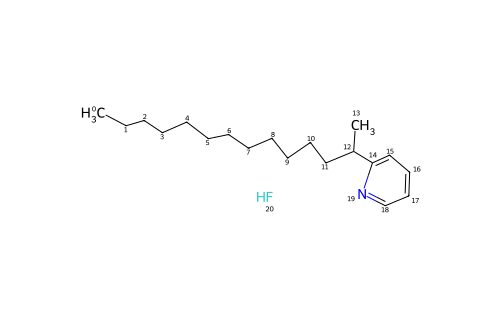 CCCCCCCCCCCCC(C)c1ccccn1.F